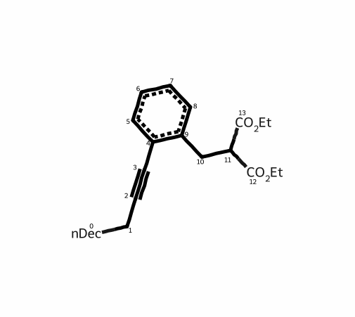 CCCCCCCCCCCC#Cc1ccccc1CC(C(=O)OCC)C(=O)OCC